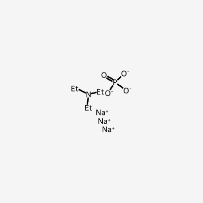 CCN(CC)CC.O=P([O-])([O-])[O-].[Na+].[Na+].[Na+]